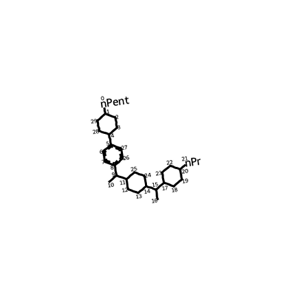 CCCCCC1CCC(c2ccc(C(C)C3CCC(C(C)C4CCC(CCC)CC4)CC3)cc2)CC1